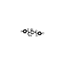 CC(C)C1CN(C(=O)Nc2ccc(Cl)cc2)CCN1/C(=N\C#N)Nc1ccc(F)cc1